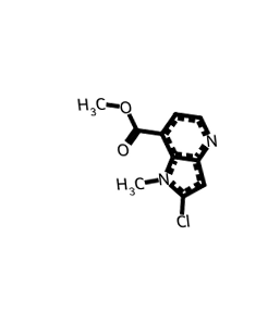 COC(=O)c1ccnc2cc(Cl)n(C)c12